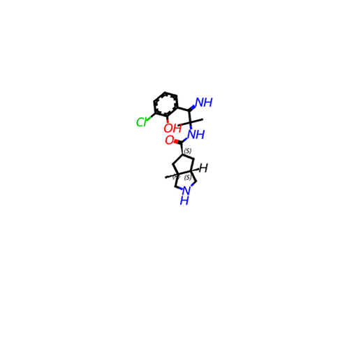 CC(C)(NC(=O)[C@H]1C[C@@H]2CNC[C@]2(C)C1)C(=N)c1cccc(Cl)c1O